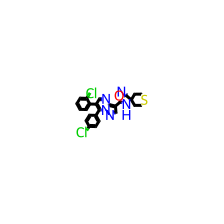 N#CC1(NC(=O)c2cnn3c(-c4ccc(Cl)cc4)c(-c4ccccc4Cl)cnc23)CCSCC1